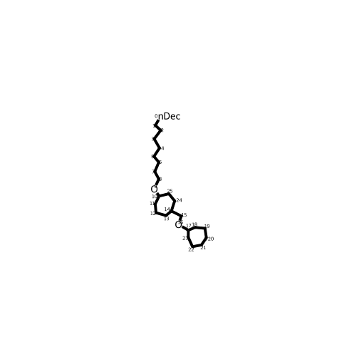 [CH2]CCCCCCCCCCCCCCCCCOC1CCCC(COC2CC[CH]CCC2)CC1